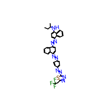 CCC(C)Nc1ccc(/N=N/c2ccc(/N=N/c3ccc(/N=N/c4nnc(CC(F)(F)F)s4)cc3)c3ccccc23)c2ccccc12